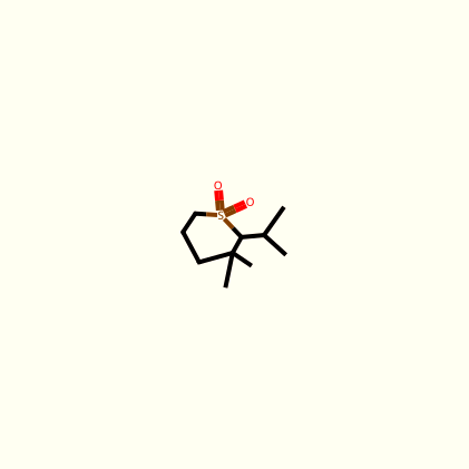 CC(C)C1C(C)(C)CCCS1(=O)=O